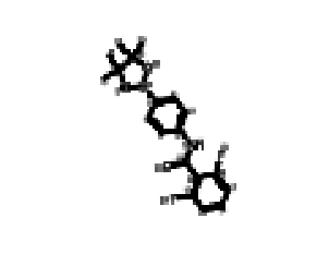 CC1(C)OB(c2ccc(NC(=O)c3c(F)cccc3F)cc2)OC1(C)C